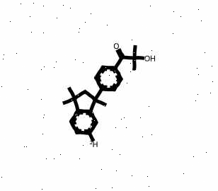 [2H]c1ccc2c(c1)C(C)(c1ccc(C(=O)C(C)(C)O)cc1)CC2(C)C